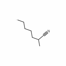 [CH2]CCCCC(C)C#N